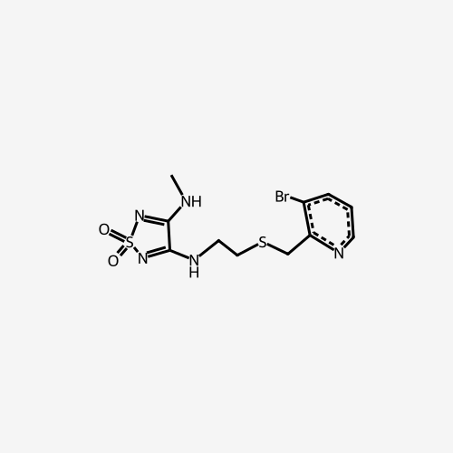 CNC1=NS(=O)(=O)N=C1NCCSCc1ncccc1Br